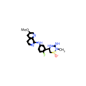 COc1cnc2c(Nc3ccc(F)c(C4C[S+]([O-])N(C)C(=N)N4)c3)nccc2c1